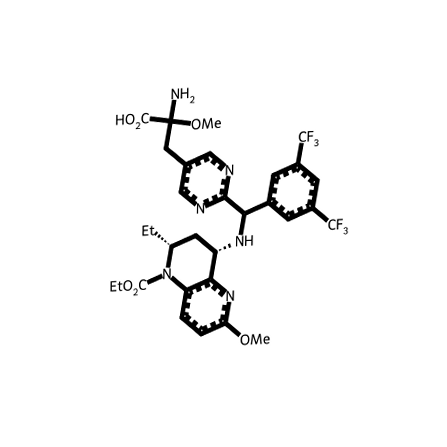 CCOC(=O)N1c2ccc(OC)nc2[C@@H](NC(c2cc(C(F)(F)F)cc(C(F)(F)F)c2)c2ncc(CC(N)(OC)C(=O)O)cn2)C[C@H]1CC